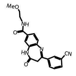 COCCNC(=O)c1ccc2c(c1)NC(=O)CC(c1cccc(C#N)c1)=N2